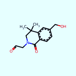 CC1(C)CN(CC=O)C(=O)c2ccc(CO)cc21